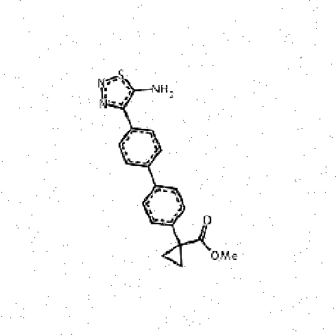 COC(=O)C1(c2ccc(-c3ccc(-c4nnsc4N)cc3)cc2)CC1